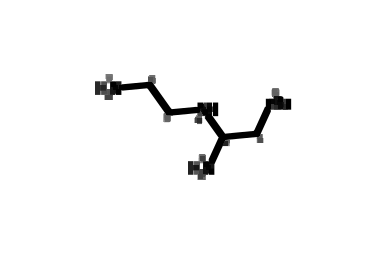 CCCCCC(N)NCCN